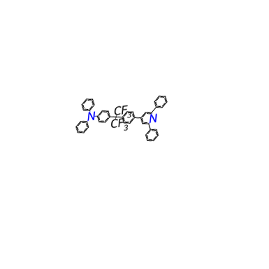 FC(F)(F)C(c1ccc(-c2cc(-c3ccccc3)nc(-c3ccccc3)c2)cc1)(c1ccc(N(c2ccccc2)c2ccccc2)cc1)C(F)(F)F